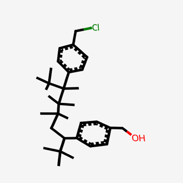 CC(C)(C)C(CC(C)(C)C(C)(C)C(C)(c1ccc(CCl)cc1)C(C)(C)C)c1ccc(CO)cc1